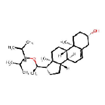 CC(C)[SiH](O[C@H](C)[C@H]1CC[C@H]2[C@@H]3CC=C4C[C@@H](O)CC[C@]4(C)[C@H]3CC[C@]12C)C(C)C